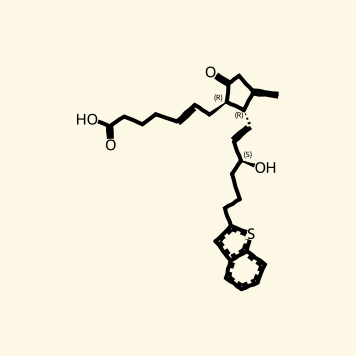 C=C1CC(=O)[C@H](CC=CCCCC(=O)O)[C@H]1C=C[C@@H](O)CCCc1cc2ccccc2s1